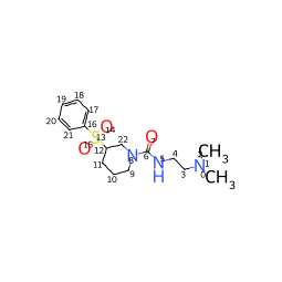 CN(C)CCNC(=O)N1CCCC(S(=O)(=O)c2ccccc2)C1